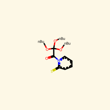 CCCCOC(OCCCC)(OCCCC)C(=O)n1ccccc1=S